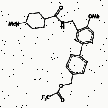 CNC1CCC(C(=O)NCc2cc(-c3ccc(COC(=O)C(F)(F)F)cc3)ccc2OC)CC1